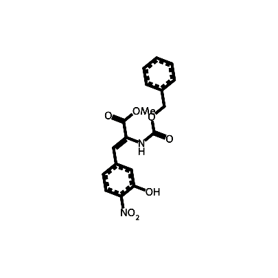 COC(=O)C(=Cc1ccc([N+](=O)[O-])c(O)c1)NC(=O)OCc1ccccc1